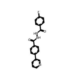 O=C(NNC(=O)c1ccc(-c2cccnc2)cc1)c1ccc(F)cc1